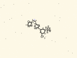 FC(F)(F)c1cc(-c2ncn(/C=C\c3nnco3)n2)cc(S(F)(F)(F)(F)F)c1